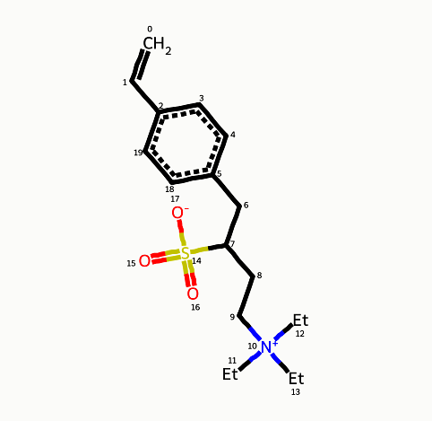 C=Cc1ccc(CC(CC[N+](CC)(CC)CC)S(=O)(=O)[O-])cc1